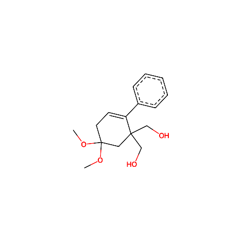 COC1(OC)CC=C(c2ccccc2)C(CO)(CO)C1